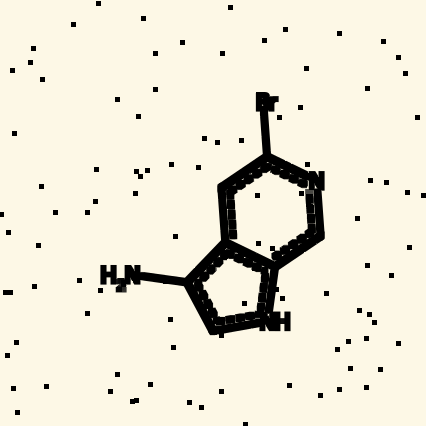 Nc1c[nH]c2cnc(Br)cc12